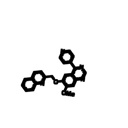 COc1cc2ncnc(-c3ccncc3)c2cc1OCc1ccc2ccccc2n1